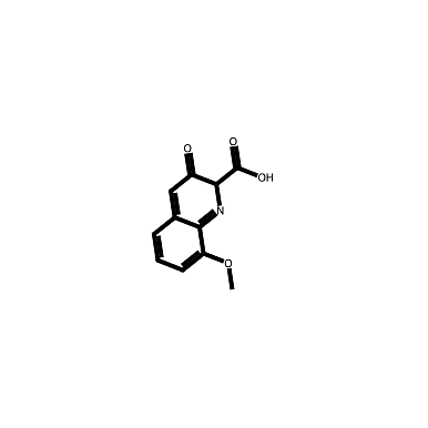 COc1cccc2c1=NC(C(=O)O)C(=O)C=2